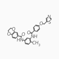 Cc1ccc(NC(=O)c2ccc3c(c2)OCCO3)cc1NC(=O)c1ccc(OCc2cncs2)cc1